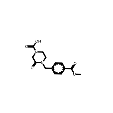 COC(=O)c1ccc(CN2CCN(C(=O)O)CC2=O)cc1